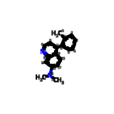 Cc1ccccc1-c1ccnc2cc(N(C)C)ccc12